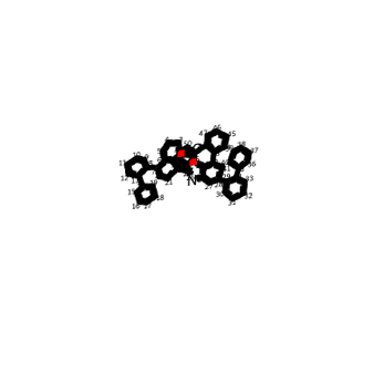 O=c1c2cccc3c(-c4ccccc4-c4ccccc4)ccc(c32)c2nc3cc(-c4ccccc4-c4ccccc4)cc(-c4ccccc4-c4ccccc4)c3n12